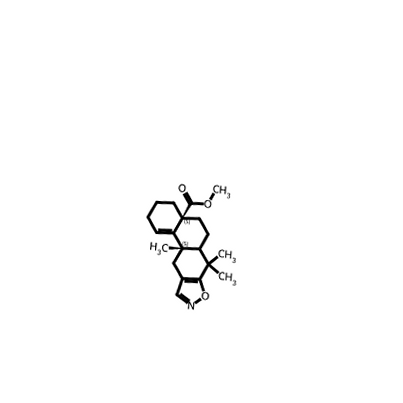 COC(=O)[C@]12CCCC=C1[C@@]1(C)Cc3cnoc3C(C)(C)C1CC2